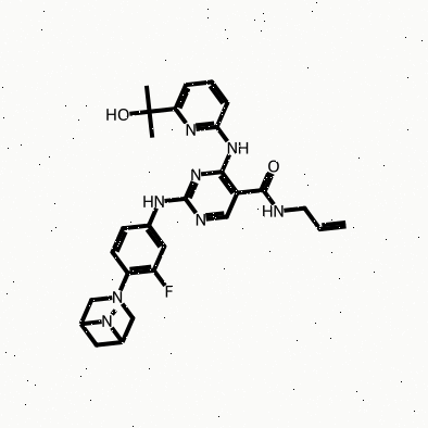 C=CCNC(=O)c1cnc(Nc2ccc(N3CC4CC(C3)N4C)c(F)c2)nc1Nc1cccc(C(C)(C)O)n1